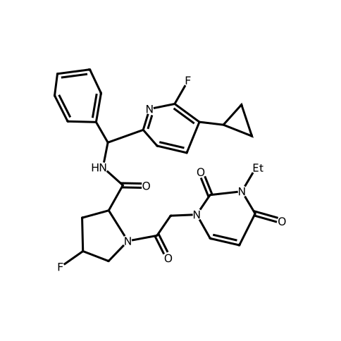 CCn1c(=O)ccn(CC(=O)N2CC(F)CC2C(=O)NC(c2ccccc2)c2ccc(C3CC3)c(F)n2)c1=O